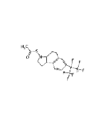 CC(=O)SN1CCC2c3ccc(C(F)(C(F)(F)F)C(F)(F)F)cc3CCC21